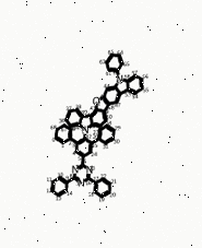 C1=CC(c2cc(-c3nc(-c4ccccc4)nc(-c4ccccc4)n3)cc(-c3ccccc3)c2-n2c3ccccc3c3c4oc5cc6c(cc5c4ccc32)c2ccccc2n6-c2ccccc2)=CCC1